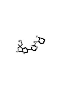 CC1(CO)CNc2ncc(-c3ccnc(Nc4ccccc4F)n3)cc21